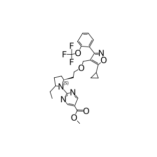 CCC1CC[C@@H](CCOCc2c(-c3ccccc3OC(F)(F)F)noc2C2CC2)N1c1ncc(C(=O)OC)cn1